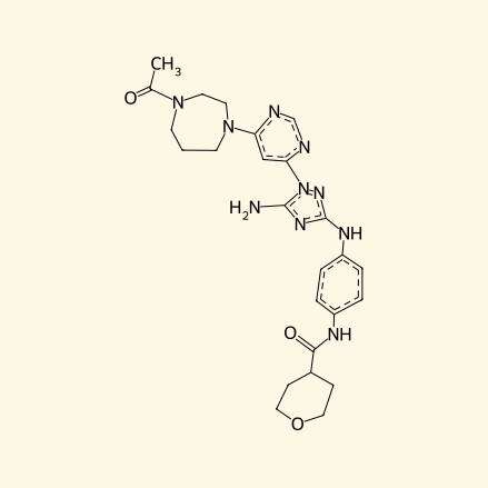 CC(=O)N1CCCN(c2cc(-n3nc(Nc4ccc(NC(=O)C5CCOCC5)cc4)nc3N)ncn2)CC1